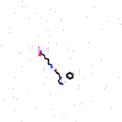 O=C(/C=C/C1CC=CN1c1ccc(Cl)cc1)NCCCCCC(=O)NO